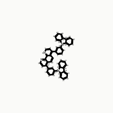 c1cc(-c2ccnc3c2ccc2c(-c4cccc(-n5c6ccccc6c6ccccc65)c4)ccnc23)cc(-n2c3ccccc3c3ccccc32)c1